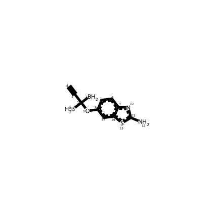 BC(B)(C#C)Oc1ccc2nc(N)sc2c1